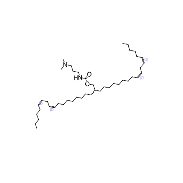 CCCCC/C=C\C/C=C\CCCCCCCCC(CCCCCCCC/C=C\C/C=C\CCCCC)COC(=O)NCCCN(C)C